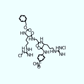 N=C(NCl)NCCCC(NC(=O)CNC(=O)C(CCCNC(=N)NCl)NC(=O)OCc1ccccc1)C(=O)Nc1ccc([N+](=O)[O-])cc1